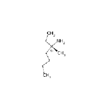 CCCC[C@@](C)(N)CC